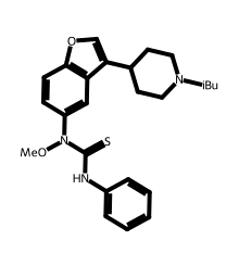 CCC(C)N1CCC(c2coc3ccc(N(OC)C(=S)Nc4ccccc4)cc23)CC1